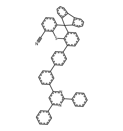 N#Cc1cccc2c1Sc1c(-c3ccc(-c4cccc(-c5cc(-c6ccccc6)nc(-c6ccccc6)n5)c4)cc3)cccc1C21c2ccccc2-c2ccccc21